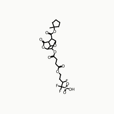 CC1(OC(=O)C2C3OC4C(OC(=O)C42)C3OC(=O)CCC(=O)OCCC(F)C(F)(F)S(=O)(=O)O)CCCC1